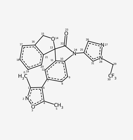 Cc1noc(C)c1-c1ccc2c(c1)C1(OCc3ccccc31)C(=O)N2c1cnn(CC(F)(F)F)c1